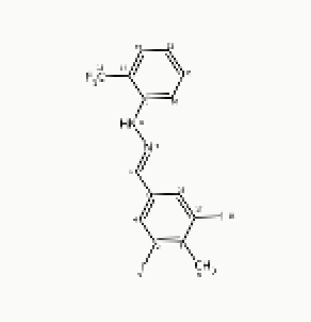 Cc1c(I)cc(/C=N/Nc2ccccc2C(F)(F)F)cc1I